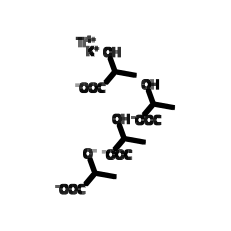 CC(O)C(=O)[O-].CC(O)C(=O)[O-].CC(O)C(=O)[O-].CC([O-])C(=O)[O-].[K+].[Ti+4]